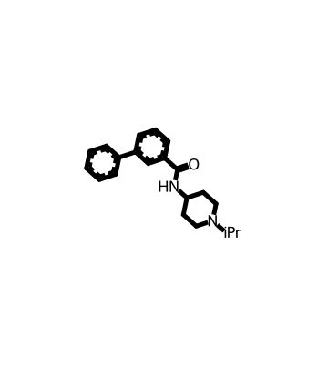 CC(C)N1CCC(NC(=O)c2cccc(-c3ccccc3)c2)CC1